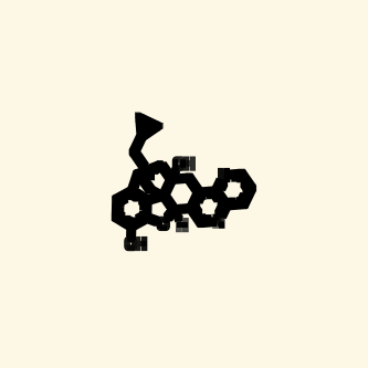 Oc1ccc2c3c1O[C@H]1c4cnc5cccnc5c4C[C@@]4(O)C(C2)N(CC2CC2)CC[C@]314